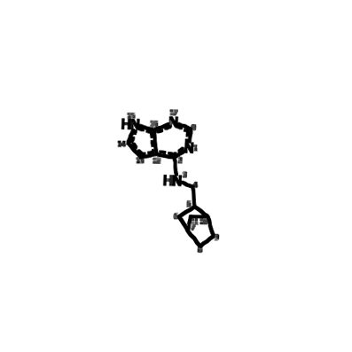 c1nc(NCC2CC3CCC2C3)c2cc[nH]c2n1